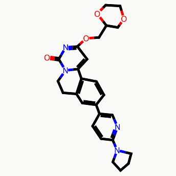 O=c1nc(OCC2COCCO2)cc2n1CCc1cc(-c3ccc(N4CCCC4)nc3)ccc1-2